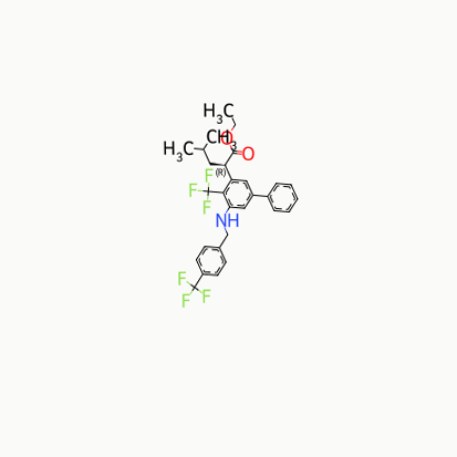 CCOC(=O)[C@H](CC(C)C)c1cc(-c2ccccc2)cc(NCc2ccc(C(F)(F)F)cc2)c1C(F)(F)F